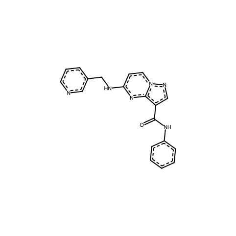 O=C(Nc1ccccc1)c1cnn2ccc(NCc3cccnc3)nc12